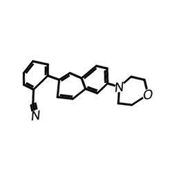 N#Cc1ccccc1-c1ccc2cc(N3CCOCC3)ccc2c1